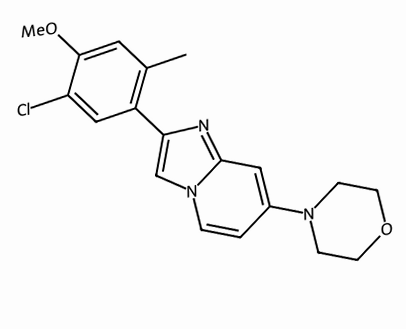 COc1cc(C)c(-c2cn3ccc(N4CCOCC4)cc3n2)cc1Cl